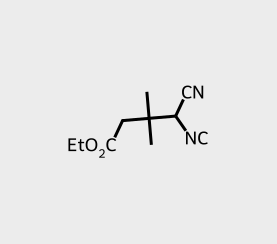 [C-]#[N+]C(C#N)C(C)(C)CC(=O)OCC